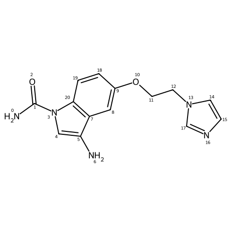 NC(=O)n1cc(N)c2cc(OCCn3ccnc3)ccc21